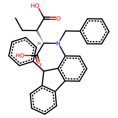 CCC(C(=O)O)[C@@H](C(=O)O)N(Cc1ccccc1)c1cccc2c1C(c1ccccc1)c1ccccc1-2